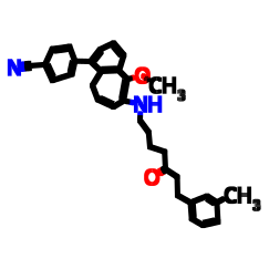 COC1=C(NCCCCC(=O)CCc2cccc(C)c2)C=CCc2c1cccc2-c1ccc(C#N)cc1